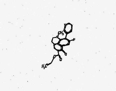 CCOC(=O)c1cn2c3c(c(-c4cccnc4)c(F)cc3c1=O)N(C)CC2